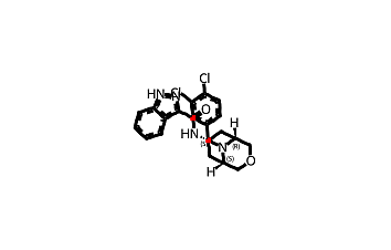 O=C(N[C@H]1C[C@H]2COC[C@@H](C1)N2Cc1ccc(Cl)c(Cl)c1)c1n[nH]c2ccccc12